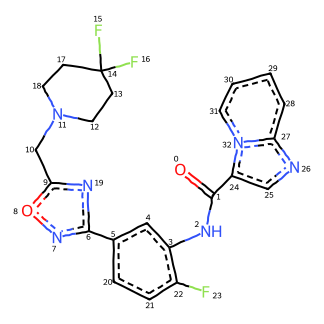 O=C(Nc1cc(-c2noc(CN3CCC(F)(F)CC3)n2)ccc1F)c1cnc2ccccn12